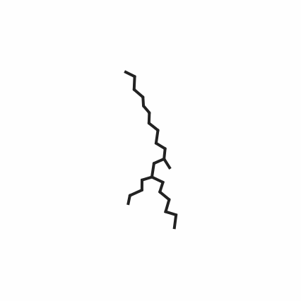 CCCCCCCCCCC(C)CC(CCCC)CCCCCC